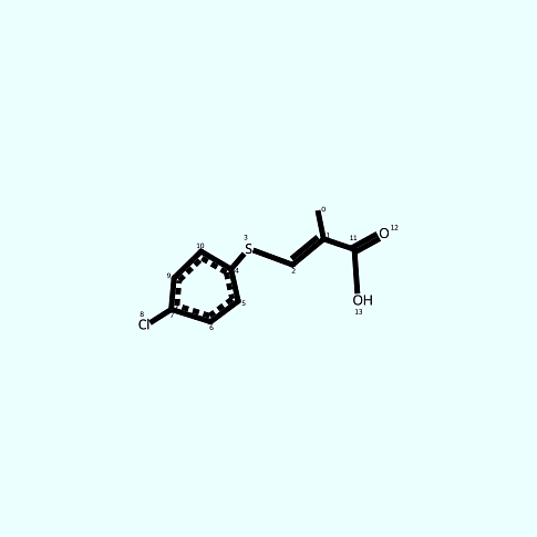 C/C(=C\Sc1ccc(Cl)cc1)C(=O)O